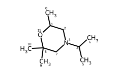 CC1CN(C(C)C)CC(C)(C)O1